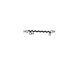 O=C(O)CCCCCCCCCCCC(O)CO